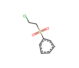 O=S(=O)(CCCl)c1c[c]ccc1